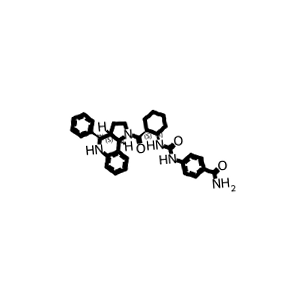 NC(=O)c1ccc(NC(=O)N[C@@H]2CCCC[C@@H]2C(=O)N2CC[C@H]3[C@H](c4ccccc4)Nc4ccccc4[C@@H]32)cc1